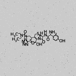 CCN(CC)C(=O)CCC(Sc1nnn[nH]1)C1=C(C(=O)O)N2C(=O)C(NC(=O)C(N)c3ccc(O)cc3)[C@@H]2SC1